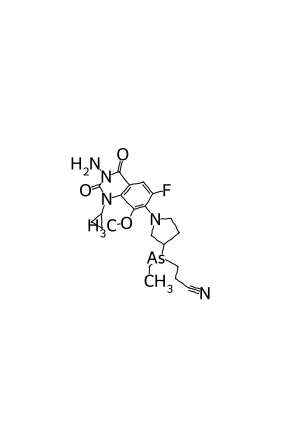 CC[As](CCC#N)C1CCN(c2c(F)cc3c(=O)n(N)c(=O)n(C4CC4)c3c2OC)C1